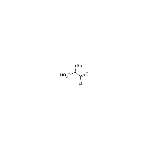 CCCCC(C(=O)O)C(=O)CC